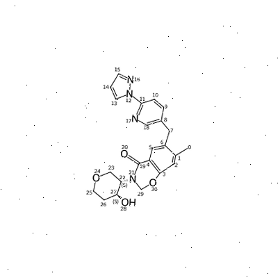 Cc1cc2c(cc1Cc1ccc(-n3cccn3)nc1)C(=O)N([C@H]1COCC[C@@H]1O)CO2